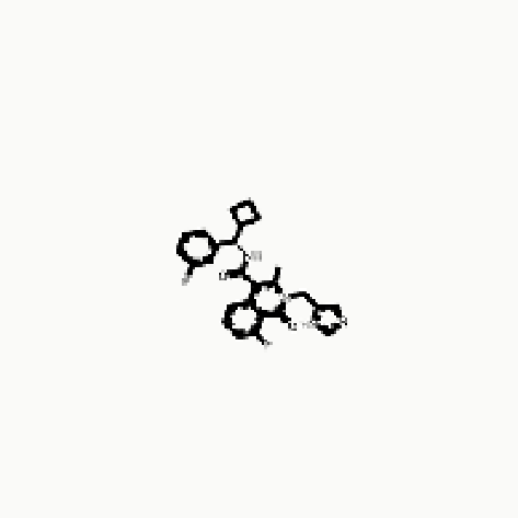 Cc1c(C(=O)N[C@H](c2cccc(F)c2)C2CCC2)c2cccc(F)c2c(=O)n1Cc1cnc[nH]1